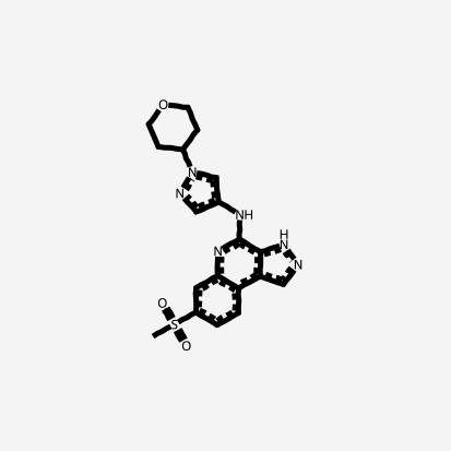 CS(=O)(=O)c1ccc2c(c1)nc(Nc1cnn(C3CCOCC3)c1)c1[nH]ncc12